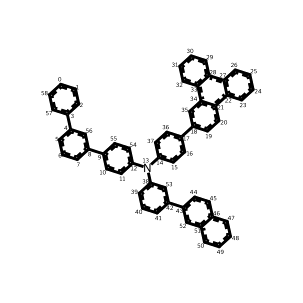 c1ccc(-c2cccc(-c3ccc(N(c4ccc(-c5ccc6c7ccccc7c7ccccc7c6c5)cc4)c4cccc(-c5ccc6ccccc6c5)c4)cc3)c2)cc1